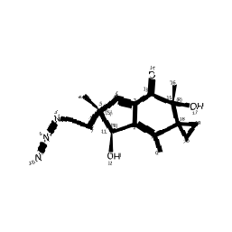 CC1=C2C(=C[C@@](C)(CN=[N+]=[N-])[C@@H]2O)C(=O)[C@](C)(O)C12CC2